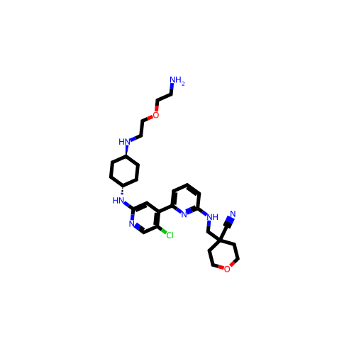 N#CC1(CNc2cccc(-c3cc(N[C@H]4CC[C@H](NCCOCCN)CC4)ncc3Cl)n2)CCOCC1